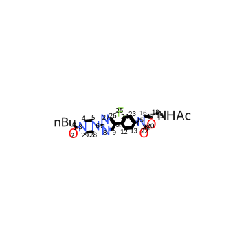 CCCCC(=O)N1CCN(c2ncc(-c3ccc(N4C[C@H](CNC(C)=O)OC4=O)cc3F)cn2)CC1